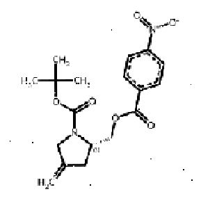 C=C1C[C@@H](COC(=O)c2ccc([N+](=O)[O-])cc2)N(C(=O)OC(C)(C)C)C1